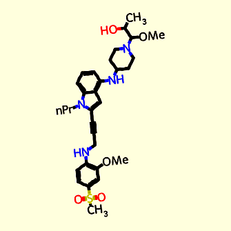 CCCn1c(C#CCNc2ccc(S(C)(=O)=O)cc2OC)cc2c(NC3CCN(C(OC)C(C)O)CC3)cccc21